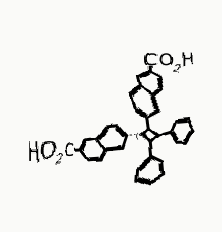 O=C(O)c1ccc2cc(C3C(c4ccccc4)C(c4ccccc4)[C@@H]3c3ccc4cc(C(=O)O)ccc4c3)ccc2c1